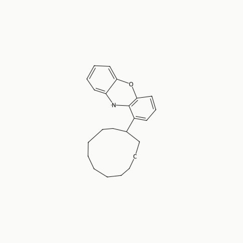 c1ccc2c(c1)[N]c1c(cccc1C1CCCCCCCCCC1)O2